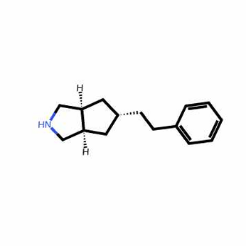 c1ccc(CC[C@@H]2C[C@H]3CNC[C@H]3C2)cc1